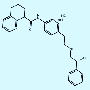 Cl.Cl.O=C(Nc1ccc(CCNC[C@H](O)c2ccccc2)cc1)C1CCCc2cccnc21